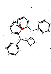 c1ccc(P(c2ccccc2)[C@@H]2CC[C@H]2P(c2ccccc2)c2ccccc2)cc1